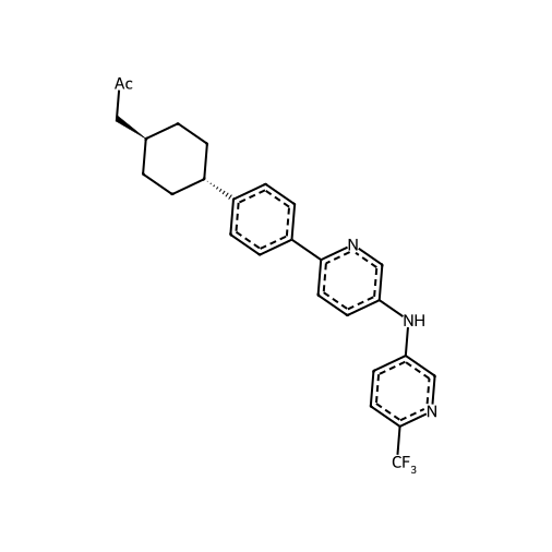 CC(=O)C[C@H]1CC[C@H](c2ccc(-c3ccc(Nc4ccc(C(F)(F)F)nc4)cn3)cc2)CC1